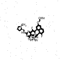 [2H]c1nc(NC[C@H]2CCCN2C)nc2c(F)c(-c3cc(OCOC)cc4ccc(F)c(C#C[Si](C(C)C)(C(C)C)C(C)C)c34)nc(OC)c12